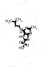 C=C(C)CCNc1nc(C)nc2nc(S(=O)(=O)O)[nH]c12